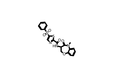 CN1C(=O)C(NC(=O)c2ncc(S(=O)(=O)c3ccccc3)s2)COc2ccccc21